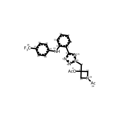 CC(=O)OC1(Cn2nnc(-c3ccccc3Nc3ccc(C(F)(F)F)cc3)n2)CN(C(C)=O)C1